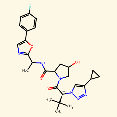 CC(NC(=O)C1CC(O)CN1C(=O)[C@@H](n1cc(C2CC2)nn1)C(C)(C)C)c1ncc(-c2ccc(F)cc2)o1